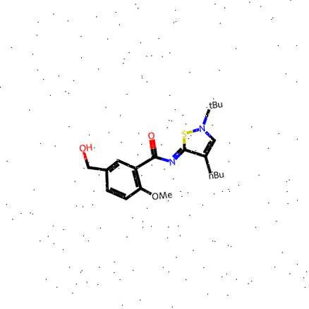 CCCCc1cn(C(C)(C)C)sc1=NC(=O)c1cc(CO)ccc1OC